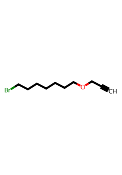 C#CCOCCCCCCCBr